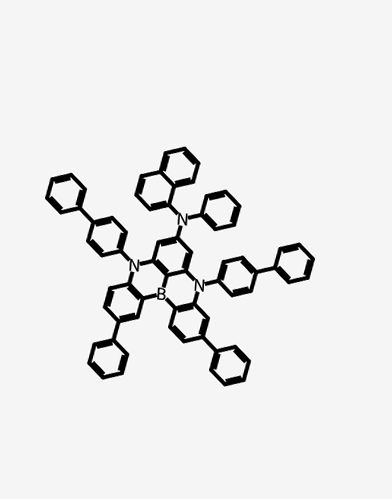 c1ccc(-c2ccc(N3c4ccc(-c5ccccc5)cc4B4c5ccc(-c6ccccc6)cc5N(c5ccc(-c6ccccc6)cc5)c5cc(N(c6ccccc6)c6cccc7ccccc67)cc3c54)cc2)cc1